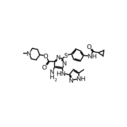 Cc1cc(Nc2nc(Sc3ccc(NC(=O)C4CC4)cc3)nc(C(=O)OC3CCN(C)CC3)c2N)n[nH]1